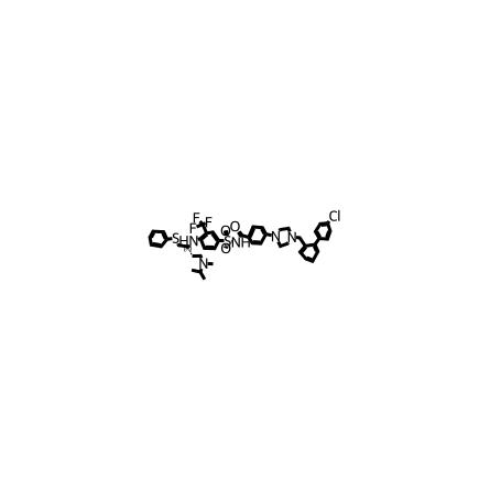 CC(C)N(C)CC[C@H](CSc1ccccc1)Nc1ccc(S(=O)(=O)NC(=O)c2ccc(N3CCN(Cc4ccccc4-c4ccc(Cl)cc4)CC3)cc2)cc1C(F)(F)F